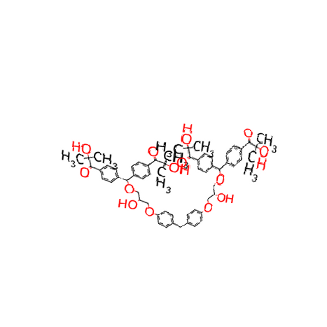 CC(C)(O)C(=O)c1ccc(C(OCC(O)COc2ccc(Cc3ccc(OCC(O)COC(c4ccc(C(=O)C(C)(C)O)cc4)c4ccc(C(=O)C(C)(C)O)cc4)cc3)cc2)c2ccc(C(=O)C(C)(C)O)cc2)cc1